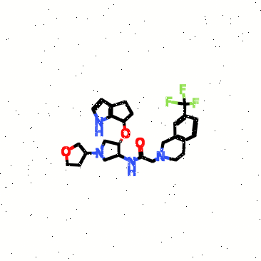 O=C(CN1CCc2ccc(C(F)(F)F)cc2C1)NC1CN(C2CCOC2)C[C@@H]1OC1CCc2cc[nH]c21